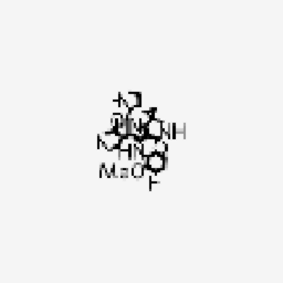 COc1c(F)cccc1Nc1c(-c2ccncc2OCC2CCCN2C)[nH]c2c1C(=O)NCC21CC1